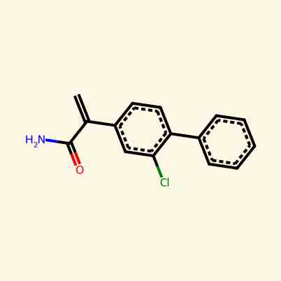 C=C(C(N)=O)c1ccc(-c2ccccc2)c(Cl)c1